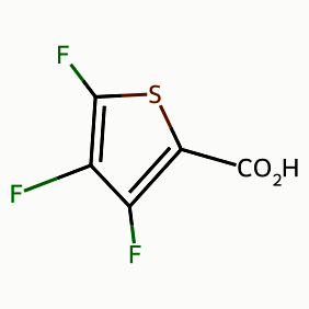 O=C(O)c1sc(F)c(F)c1F